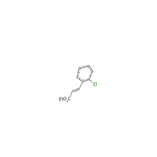 CCOC(=O)C=Cc1ccccc1Cl